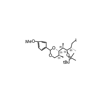 COc1ccc(C2OC[C@H](C)[C@@H]([C@@H](C)[C@H](O[Si](C)(C)C(C)(C)C)[C@@H](C)CI)O2)cc1